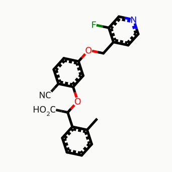 Cc1ccccc1C(Oc1cc(OCc2ccncc2F)ccc1C#N)C(=O)O